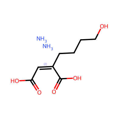 N.N.O=C(O)/C=C(/CCCCO)C(=O)O